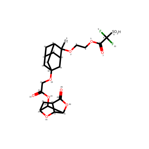 CCC1(OCCOC(=O)C(F)(F)S(=O)(=O)O)C2CC3CC1CC(OCC(=O)OC1C4CC5C(=O)OC1C5O4)(C3)C2